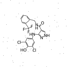 O=C(NCc1ccccc1C(F)(F)F)c1c[nH]nc1Nc1cc(Cl)c(O)c(Cl)c1